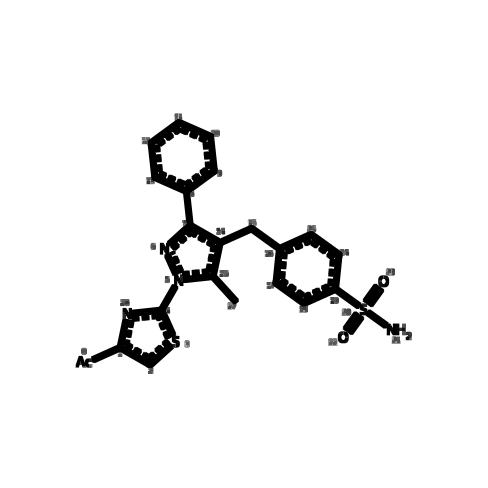 CC(=O)c1csc(-n2nc(-c3ccccc3)c(Cc3ccc(S(N)(=O)=O)cc3)c2C)n1